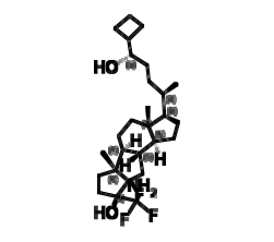 C[C@H](CC[C@H](O)C1CCC1)[C@H]1CC[C@H]2[C@@H]3CC4(N)[C@](O)(C(F)(F)F)CC[C@]4(C)[C@H]3CC[C@]12C